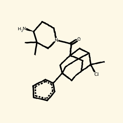 CC1(Cl)C2CC3(C(=O)N4CC[C@H](N)C(C)(C)C4)CC1CC(c1ccccc1)(C2)C3